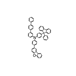 c1ccc(-c2ccc(-c3cccc(N(c4ccc(-c5ccc6oc7ccccc7c6c5)cc4)c4ccc(C5(c6ccccc6)c6ccccc6-c6ccccc65)cc4)c3)cc2)cc1